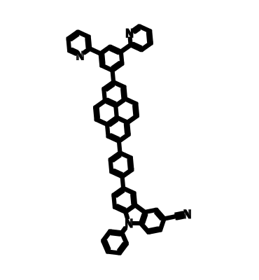 N#Cc1ccc2c(c1)c1cc(-c3ccc(-c4cc5ccc6cc(-c7cc(-c8ccccn8)cc(-c8ccccn8)c7)cc7ccc(c4)c5c67)cc3)ccc1n2-c1ccccc1